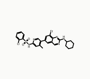 CCc1cc(-c2cnc(NS(=O)(=O)c3ccccc3Cl)cc2C)cc2cnc(NC3CCCCC3)nc12